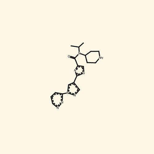 CC(C)N(C(=O)c1csc(-c2cnn(-c3cccnn3)c2)n1)C1CCNCC1